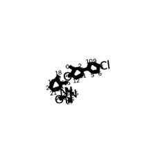 Cc1cc(-c2ccc(Cl)cc2)ccc1OCc1c(C)cccc1-n1nnn(C)c1=O